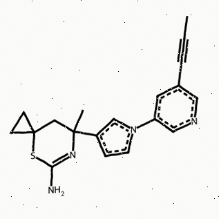 CC#Cc1cncc(-n2ccc(C3(C)CC4(CC4)SC(N)=N3)c2)c1